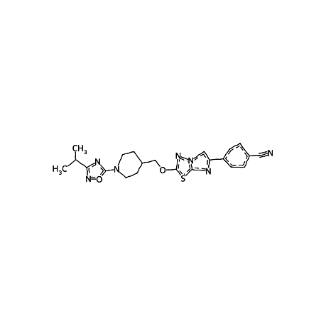 CC(C)c1noc(N2CCC(COc3nn4cc(-c5ccc(C#N)cc5)nc4s3)CC2)n1